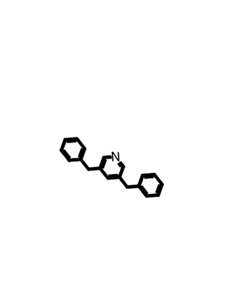 c1ccc(Cc2cncc(Cc3ccccc3)c2)cc1